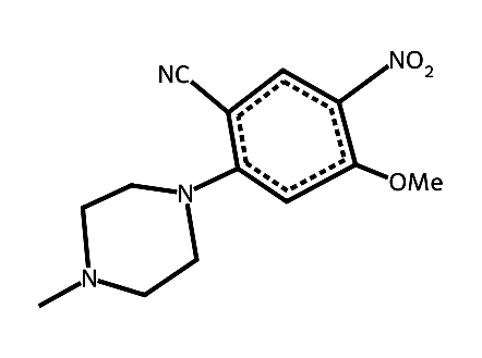 COc1cc(N2CCN(C)CC2)c(C#N)cc1[N+](=O)[O-]